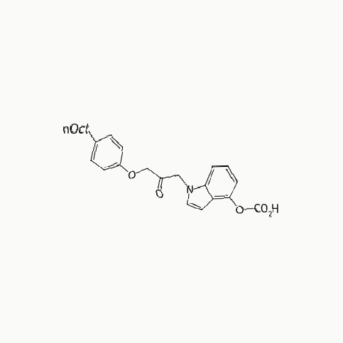 CCCCCCCCc1ccc(OCC(=O)Cn2ccc3c(OC(=O)O)cccc32)cc1